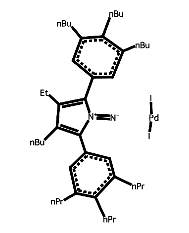 CCCCC1=C(c2cc(CCC)c(CCC)c(CCC)c2)[N+](=[N-])C(c2cc(CCCC)c(CCCC)c(CCCC)c2)=C1CC.[I][Pd][I]